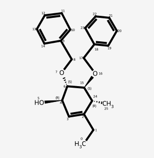 CCC1=C[C@@H](O)[C@H](OCc2ccccc2)[C@@H](OCc2ccccc2)[C@@H]1C